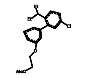 CCC(CC)c1ccc(Cl)cc1-c1cccc(OCCOC)c1